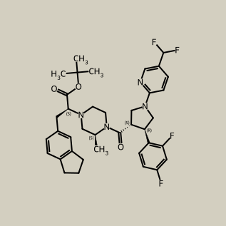 C[C@H]1CN([C@@H](Cc2ccc3c(c2)CCC3)C(=O)OC(C)(C)C)CCN1C(=O)[C@@H]1CN(c2ccc(C(F)F)cn2)C[C@H]1c1ccc(F)cc1F